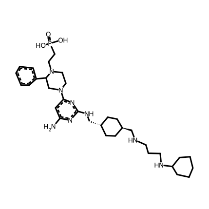 Nc1cc(N2CCN(CCP(=O)(O)O)C(c3ccccc3)C2)nc(NC[C@H]2CC[C@H](CNCCCNC3CCCCC3)CC2)n1